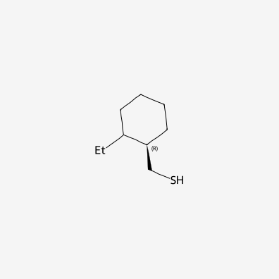 CCC1CCCC[C@H]1CS